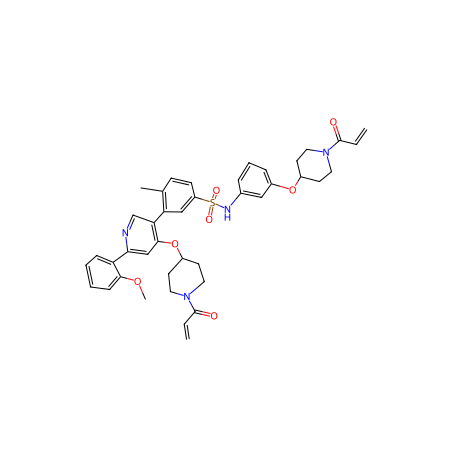 C=CC(=O)N1CCC(Oc2cccc(NS(=O)(=O)c3ccc(C)c(-c4cnc(-c5ccccc5OC)cc4OC4CCN(C(=O)C=C)CC4)c3)c2)CC1